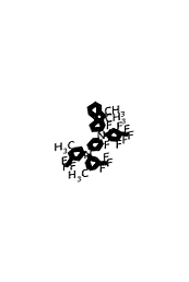 Cc1cc(N(c2ccc(N(c3ccc4c(c3)C(C)(C)c3ccccc3-4)c3c(F)c(F)c(C(F)(F)F)c(F)c3F)cc2)c2cc(C)cc(C(F)(F)F)c2)cc(C(F)(F)F)c1